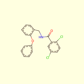 O=C(NCc1ccccc1Oc1ccccc1)c1cc(Cl)ccc1Cl